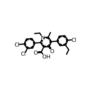 CCc1cc(-c2c(C)n(CC)c(-c3ccc(Cl)c(Cl)c3)c(C(=O)O)c2=O)ccc1Cl